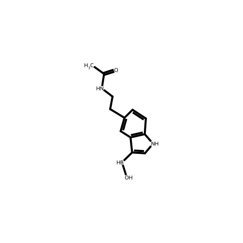 CC(=O)NCCc1ccc2[nH]cc(BO)c2c1